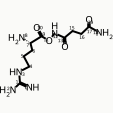 N=C(N)NCCC[C@H](N)C(=O)ONC(=O)CCC(N)=O